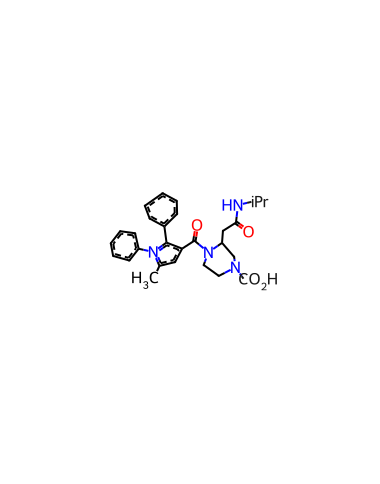 Cc1cc(C(=O)N2CCN(C(=O)O)CC2CC(=O)NC(C)C)c(-c2ccccc2)n1-c1ccccc1